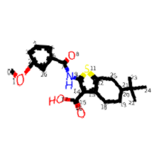 COc1cccc(C(=O)Nc2sc3c(c2C(=O)O)CCC(C(C)(C)C)C3)c1